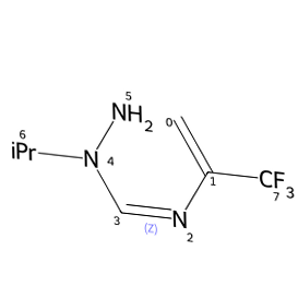 C=C(/N=C\N(N)C(C)C)C(F)(F)F